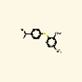 CC(=O)Oc1cc([N+](=O)[O-])ccc1Sc1ccc(C(C)C#N)cc1